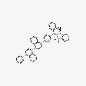 CC1(C)c2ccccc2-c2nc3ccccc3c(-c3ccc(-c4ccc(-c5ccc(-c6ccccc6)c6ccccc56)c5ccccc45)cc3)c21